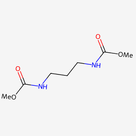 COC(=O)NCCCNC(=O)OC